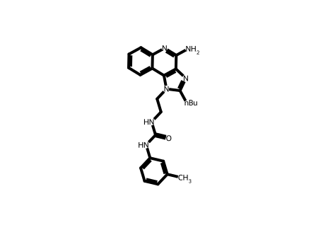 CCCCc1nc2c(N)nc3ccccc3c2n1CCNC(=O)Nc1cccc(C)c1